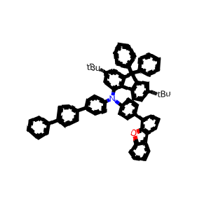 CC(C)(C)c1ccc2c(c1)C(c1ccccc1)(c1ccccc1)c1cc(C(C)(C)C)cc(N(c3ccc(-c4ccc(-c5ccccc5)cc4)cc3)c3ccc(-c4cccc5c4oc4ccccc45)cc3)c1-2